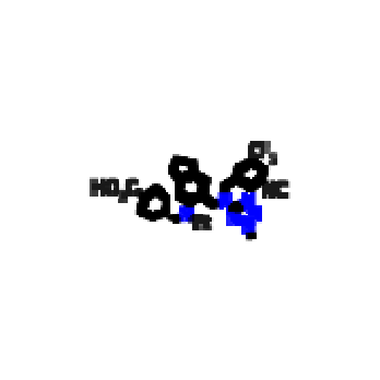 [C-]#[N+]c1cc(CN(Cc2cc3c(cc2N(CC)C[C@H]2CC[C@H](C(=O)O)CC2)CCC3)c2nnn(C)n2)cc(C(F)(F)F)c1